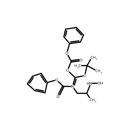 CC(C[N+](C(=O)Oc1ccccc1)=C(OC(=O)Oc1ccccc1)OC(C)(C)C)NO